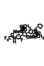 COc1cc(-c2ccc(NC(=O)C(F)(F)F)cc2F)c(OC)c(OS(C)(=O)=O)c1-c1ccc(OCc2ccccc2)c(OS(C)(=O)=O)c1